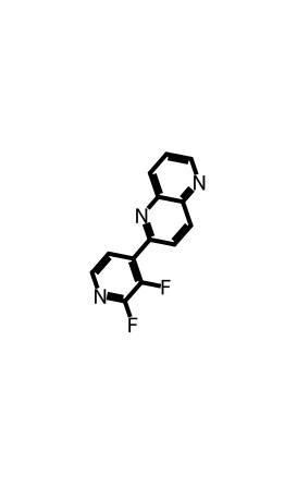 Fc1nccc(-c2ccc3ncccc3n2)c1F